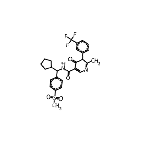 CC1=NC=C(C(=O)NC(c2ccc(S(C)(=O)=O)cc2)C2CCCC2)C(=O)C1c1cccc(C(F)(F)F)c1